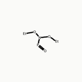 CCON(OCC)P=O